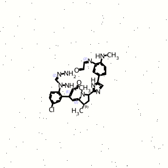 CNc1ccc(-c2cnc(C3C[C@@H](C)/C(=C/C(=C\C=O)c4cc(Cl)ccc4N(N)/C=N\N)N3C)[nH]2)cc1/N=C\C=O